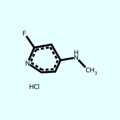 CNc1ccnc(F)c1.Cl